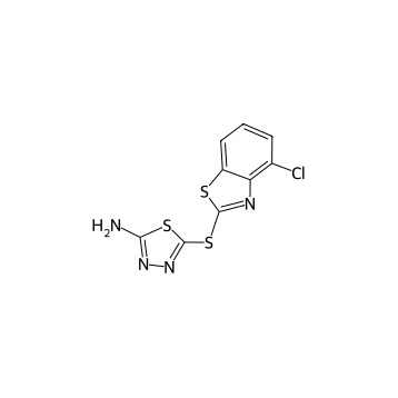 Nc1nnc(Sc2nc3c(Cl)cccc3s2)s1